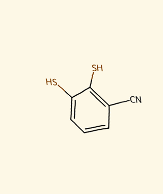 N#Cc1cccc(S)c1S